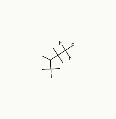 CC(C(C)(C)C)C(C)(C)C(F)(F)F